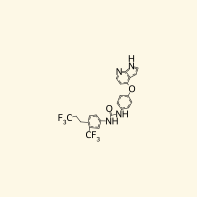 O=C(Nc1ccc(Oc2ccnc3[nH]ccc23)cc1)Nc1ccc(CCC(F)(F)F)c(C(F)(F)F)c1